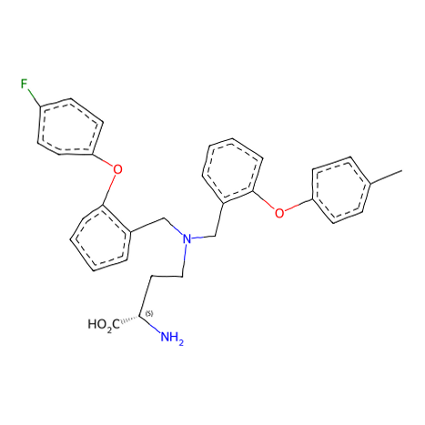 Cc1ccc(Oc2ccccc2CN(CC[C@H](N)C(=O)O)Cc2ccccc2Oc2ccc(F)cc2)cc1